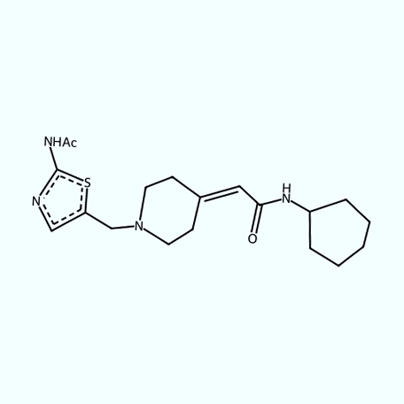 CC(=O)Nc1ncc(CN2CCC(=CC(=O)NC3CCCCC3)CC2)s1